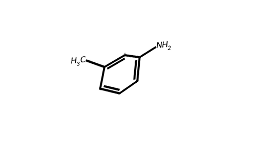 Cc1[c]c(N)ccc1